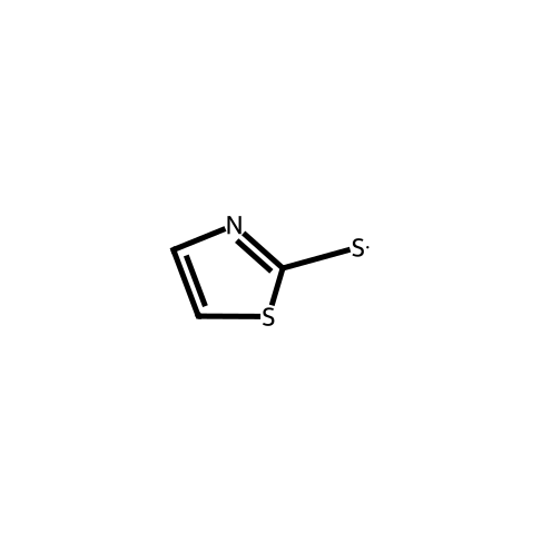 [S]c1nccs1